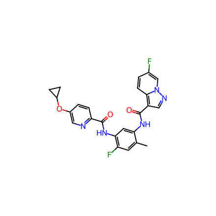 Cc1cc(F)c(NC(=O)c2ccc(OC3CC3)cn2)cc1NC(=O)c1cnn2cc(F)ccc12